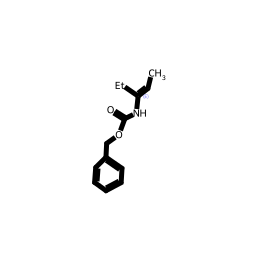 C/C=C(\CC)NC(=O)OCc1ccccc1